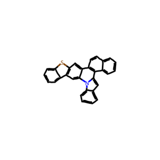 c1ccc2c(c1)ccc1c3cc4sc5ccccc5c4cc3n3c4ccccc4cc3c21